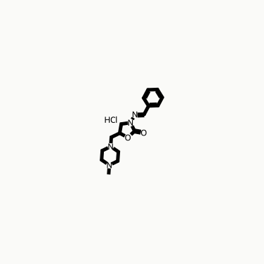 CN1CCN(CC2CN(/N=C/c3ccccc3)C(=O)O2)CC1.Cl